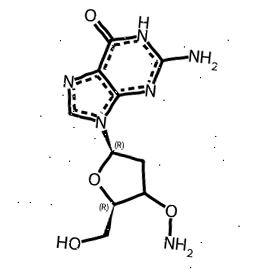 NOC1C[C@H](n2cnc3c(=O)[nH]c(N)nc32)O[C@@H]1CO